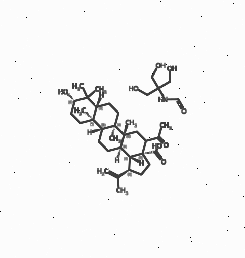 C=C(C)[C@@H]1CC[C@]2(C(=O)O)C(C(C)=O)C[C@]3(C)[C@H](CC[C@@H]4[C@@]5(C)CC[C@H](O)C(C)(C)[C@@H]5CC[C@]43C)[C@@H]12.O=CNC(CO)(CO)CO